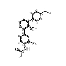 CCc1ccc(-c2cccc(-c3ccc(NC(C)=O)c(F)c3)c2O)cc1